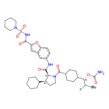 CC(C)(C)C(F)[C@@H](OC(N)=O)C1CCC(C(=O)N2CC[C@@H](C3CCCCC3)[C@H]2C(=O)Nc2ccc3oc(C(=O)NS(=O)(=O)N4CCCCC4)cc3c2)CC1